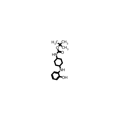 CC(C)(C)OC(=O)NC1CCC(Nc2ccccc2O)CC1